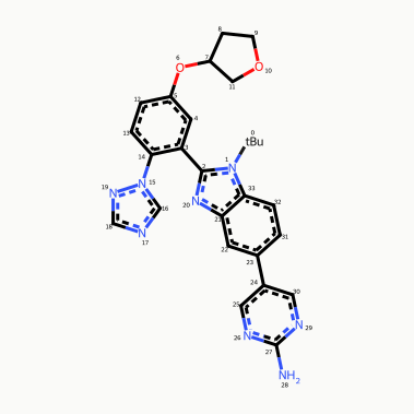 CC(C)(C)n1c(-c2cc(OC3CCOC3)ccc2-n2cncn2)nc2cc(-c3cnc(N)nc3)ccc21